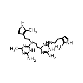 Cc1[nH]ccc1CCNC1=NC(CCN(CCc2cc[nH]c2C)C2=NC(C)N=C(N)N2)N=C(N)N1